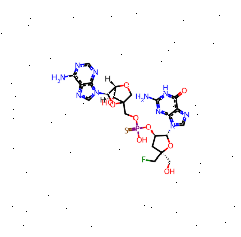 Nc1nc2c(ncn2[C@@H]2O[C@@](CO)(CF)C[C@H]2OP(O)(=S)OCC23CO[C@@H]([C@H](n4cnc5c(N)ncnc54)O2)[C@@H]3O)c(=O)[nH]1